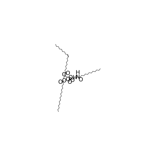 CCCCCCCC/C=C\CCCCCCCC(=O)O[C@H](COC(=O)CCCCCCCCCCCCCCC)COP(=O)(O)OCCNC(=O)CCCCCCCCCCC